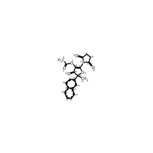 CC(=O)OC1=C(N2C(=O)CCC2=O)OC(C)(c2ccc3ccccc3c2)C1=O